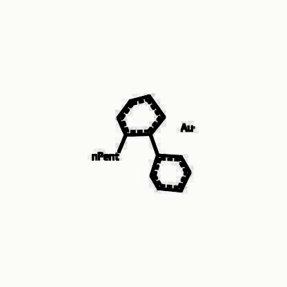 CCCCCc1ccccc1-c1ccccc1.[Au]